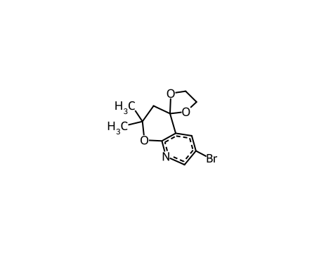 CC1(C)CC2(OCCO2)c2cc(Br)cnc2O1